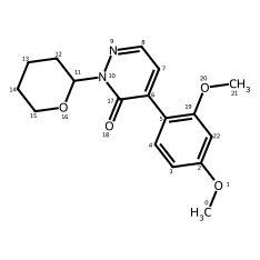 COc1ccc(-c2ccnn(C3CCCCO3)c2=O)c(OC)c1